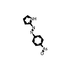 O=[As]c1ccc(N=Nc2ccc[nH]2)cc1